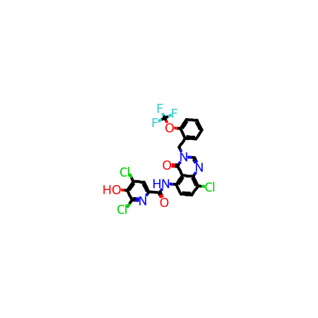 O=C(Nc1ccc(Cl)c2ncn(Cc3ccccc3OC(F)(F)F)c(=O)c12)c1cc(Cl)c(O)c(Cl)n1